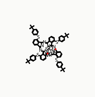 CC(C)(C)c1ccc(Sc2cccc3c2C2=NC/3=N\c3c4c(Sc5ccc(C(C)(C)C)cc5)cccc4c4n3[Si](O[Si](C)(C)C)(O[Si](C)(C)C)n3/c(c5cccc(Sc6ccc(C(C)(C)C)cc6)c5/c3=N/C3=NC(=N\4)/c4c(Sc5ccc(C(C)(C)C)cc5)cccc43)=N\2)cc1